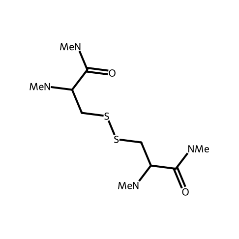 CNC(=O)C(CSSCC(NC)C(=O)NC)NC